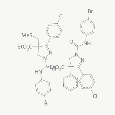 CCOC(=O)C1(CSC)CN(C(=O)Nc2ccc(Br)cc2)N=C1c1ccc(Cl)cc1.CCOC(=O)C1(c2ccccc2)CN(C(=O)Nc2ccc(Br)cc2)N=C1c1ccc(Cl)cc1